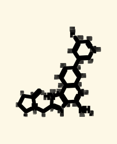 C=C1CCCN1Cc1nc2c(N)nc3cc(-c4cncc(F)c4)ccc3c2[nH]1